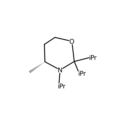 CC(C)N1[C@H](C)CCOC1(C(C)C)C(C)C